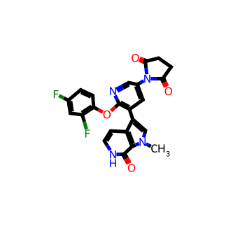 Cn1cc(-c2cc(N3C(=O)CCC3=O)cnc2Oc2ccc(F)cc2F)c2cc[nH]c(=O)c21